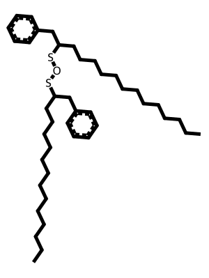 CCCCCCCCCCCCCC(Cc1ccccc1)SOSC(CCCCCCCCCCCCC)Cc1ccccc1